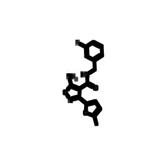 Cc1ccc(-c2noc(N)c2C(=O)NCc2cccc(F)c2)o1